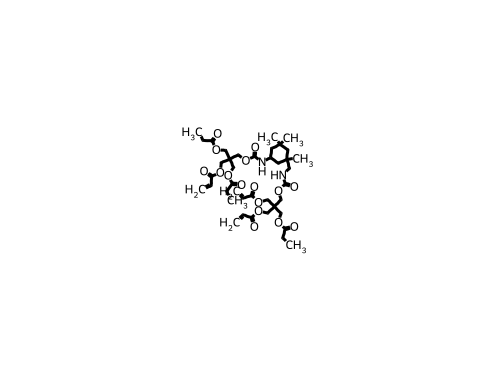 C=CC(=O)OCC(COC(=O)C=C)(COC(=O)CC)COC(=O)NCC1(C)CC(NC(=O)OCC(COC(=O)C=C)(COC(=O)CC)COC(=O)CC)CC(C)(C)C1